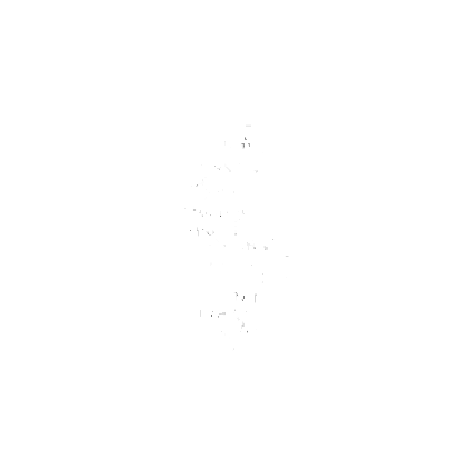 C[C@@H]1CCCCN1C(=O)[C@H](CCCNc1ncc[nH]1)NS(=O)(=O)c1ccc2c(c1)CCNC2